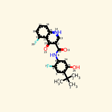 CC(C)(C)c1cc(F)c(NC(=O)c2c[nH]c3cccc(F)c3c2=O)cc1O